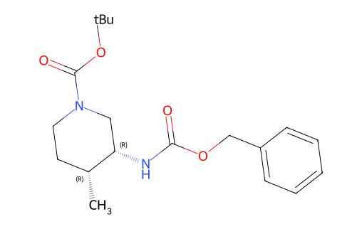 C[C@@H]1CCN(C(=O)OC(C)(C)C)C[C@@H]1NC(=O)OCc1ccccc1